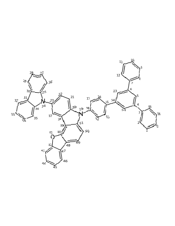 c1ccc(-c2cc(-c3ccccc3)cc(-c3ccc(-n4c5ccc(-n6c7ccccc7c7ccccc76)cc5c5c6oc7ccccc7c6ccc54)cc3)c2)cc1